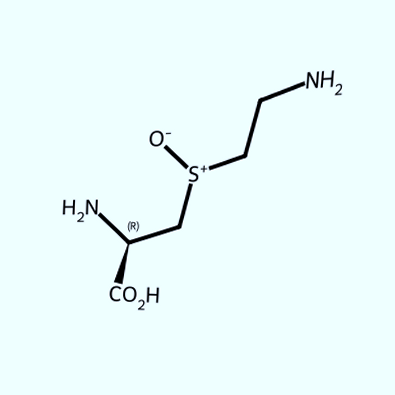 NCC[S+]([O-])C[C@H](N)C(=O)O